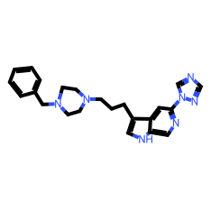 c1ccc(CN2CCN(CCCc3c[nH]c4cnc(-n5cncn5)cc34)CC2)cc1